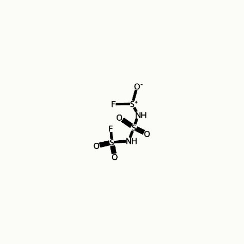 O=S(=O)(F)NS(=O)(=O)N[S+]([O-])F